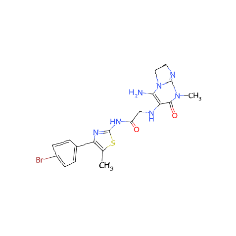 Cc1sc(NC(=O)CNC2=C(N)N3CCN=C3N(C)C2=O)nc1-c1ccc(Br)cc1